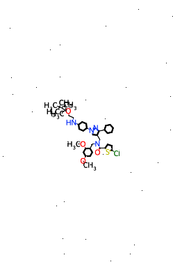 COc1ccc(CN(Cc2cn(-c3ccc(NCCO[Si](C)(C)C(C)(C)C)cc3)nc2-c2ccccc2)C(=O)c2ccc(Cl)s2)c(OC)c1